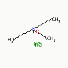 CCCCCCCCCC[N](CCCCCCCCCC)[Ti][O]CCCCCC.Cl.Cl